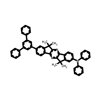 CC1(C)c2cc(-c3cc(-c4ccccc4)cc(-c4ccccc4)c3)ccc2-c2nc3c(nc21)-c1ccc(N(c2ccccc2)c2ccccc2)cc1C3(C)C